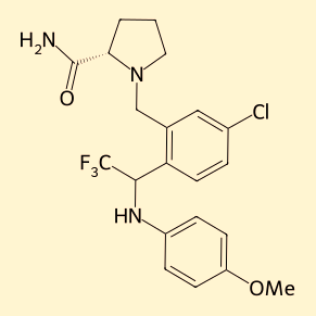 COc1ccc(NC(c2ccc(Cl)cc2CN2CCC[C@H]2C(N)=O)C(F)(F)F)cc1